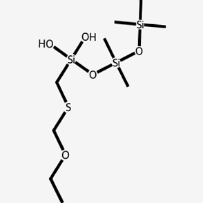 CCOCSC[Si](O)(O)O[Si](C)(C)O[Si](C)(C)C